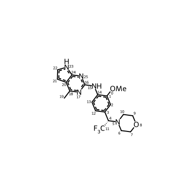 COc1cc([C@H](N2CCOCC2)C(F)(F)F)ccc1Nc1nc(C)c2cc[nH]c2n1